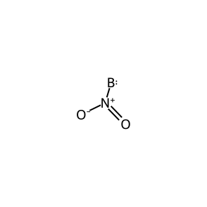 [B][N+](=O)[O-]